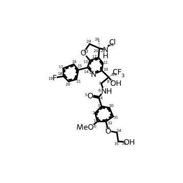 COc1cc(C(=O)NC[C@](O)(c2cc3c(c(-c4ccc(F)cc4)n2)OC[C@@]3(C)NCl)C(F)(F)F)ccc1OCCO